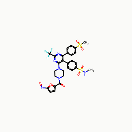 CNS(=O)(=O)c1ccc(-c2c(-c3ccc(S(C)(=O)=O)cc3)nc(C(F)(F)F)nc2N2CCN(C(=O)c3ccc(N=O)o3)CC2)cc1